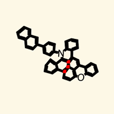 c1ccc2c(c1)Oc1cccc3cc(-c4ccccc4N(c4ccc(-c5ccc6ccccc6c5)cc4)c4cccc5ccccc45)cc-2c13